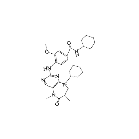 COc1cc(C(=O)NC2CCCCC2)ccc1Nc1ncc2c(n1)N(C1CCCCC1)CC(C)C(=O)N2C